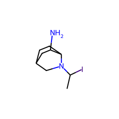 CC(I)N1CC2CCC1C(N)C2